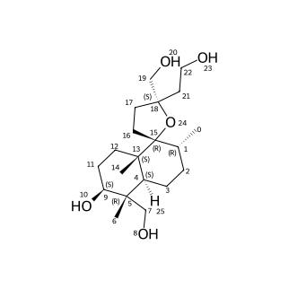 C[C@@H]1CC[C@H]2[C@](C)(CO)[C@@H](O)CC[C@]2(C)[C@@]12CC[C@@](CO)(CCO)O2